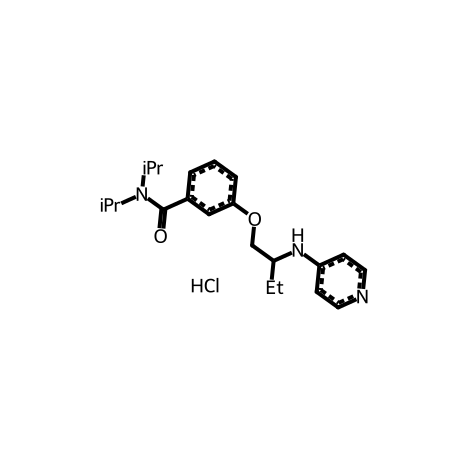 CCC(COc1cccc(C(=O)N(C(C)C)C(C)C)c1)Nc1ccncc1.Cl